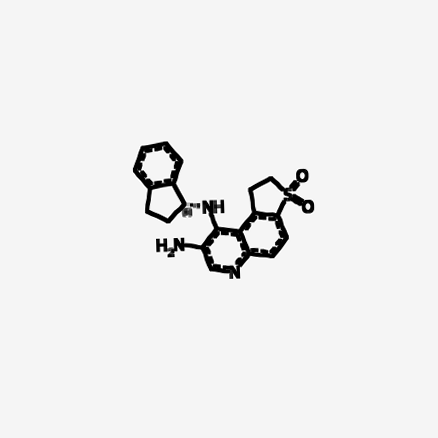 Nc1cnc2ccc3c(c2c1N[C@@H]1CCc2ccccc21)CCS3(=O)=O